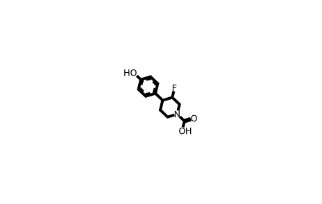 O=C(O)N1CCC(c2ccc(O)cc2)C(F)C1